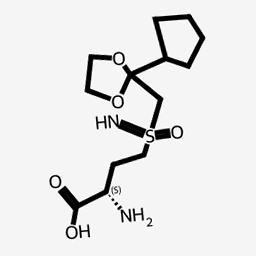 N=S(=O)(CC[C@H](N)C(=O)O)CC1(C2CCCC2)OCCO1